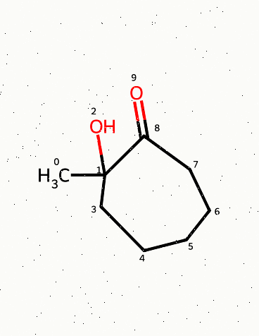 CC1(O)CCCCCC1=O